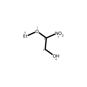 CCOC(CO)[N+](=O)[O-]